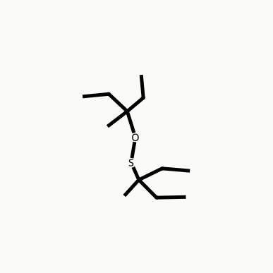 CCC(C)(CC)OSC(C)(CC)CC